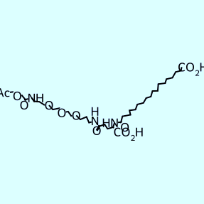 CC(=O)COCC(=O)NCCCOCCOCCOCCCNC(=O)CC[C@@H](NC(=O)CCCCCCCCCCCCCCCCC(=O)O)C(=O)O